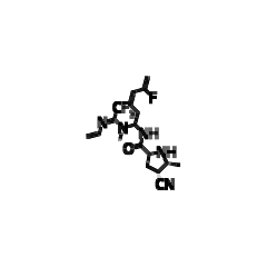 C=C/N=C(\N(C)C(C/C=C\C(=C)F)NC(=O)C1C[C@@H](C#N)[C@H](C)N1)C(F)(F)F